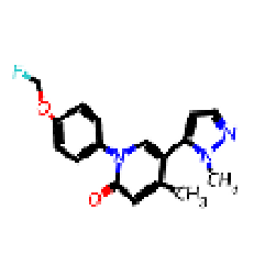 Cc1cc(=O)n(-c2ccc(OCF)cc2)cc1-c1ccnn1C